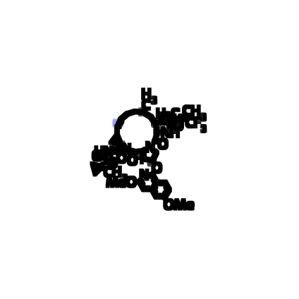 COc1ccc2c(O[C@@H]3C[C@H]4C(=O)N[C@]5(C(=O)NS(=O)(=O)C6(C)CC6)CC5/C=C\CC[C@H](C)C[C@@H](C)[C@H](NC(=O)OC(C)(C)C(F)(F)F)C(=O)N4C3)nc(OC)cc2c1